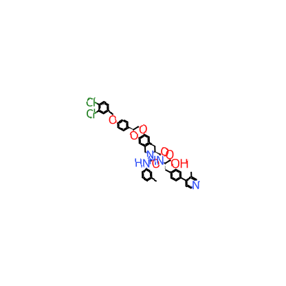 Cc1cccc(NC(=O)N2Cc3cc4c(cc3C[C@H]2C(=O)N[C@@H](Cc2ccc(-c3ccncc3C)cc2)C(=O)O)OC[C@H](c2ccc(OCc3ccc(Cl)c(Cl)c3)cc2)O4)c1